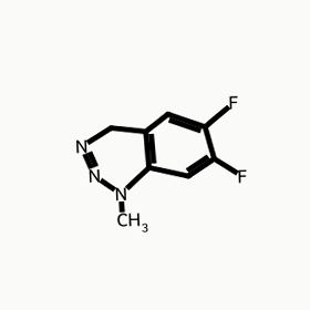 CN1N=NCc2cc(F)c(F)cc21